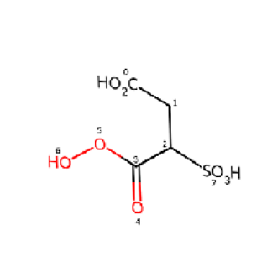 O=C(O)CC(C(=O)OO)S(=O)(=O)O